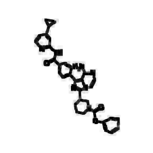 Nc1nccn2c(C3CCCN(C(=O)Oc4ccccc4)C3)nc(-c3ccc(C(=O)Nc4cc(C5CC5)ccn4)cc3)c12